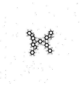 CC1(C)c2ccccc2-c2ccc(N(c3ccc(-c4ccccc4)cc3)c3ccc(-n4c5cc6sc7ccccc7c6cc5c5ccc6c(ccn6-c6ccccc6)c54)cc3)cc21